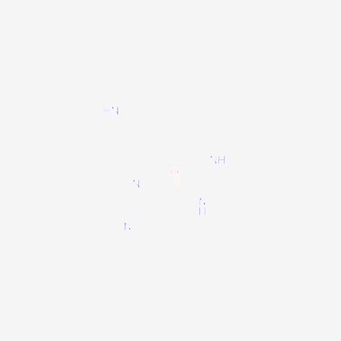 CCC(CC)NC1CCN(c2nc3ccccc3cc2C(=O)NC(C)N)CC1